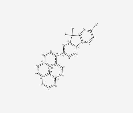 CC1(C)c2cc(Br)ccc2-c2ccc(-c3ccc4ccc5cccc6ccc3c4c56)cc21